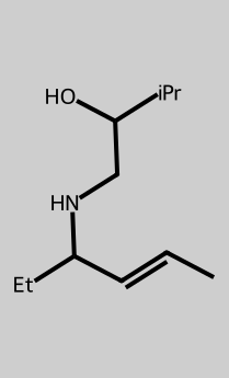 CC=CC(CC)NCC(O)C(C)C